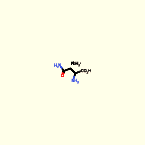 NC(=O)CC(N)C(=O)O.[PbH2]